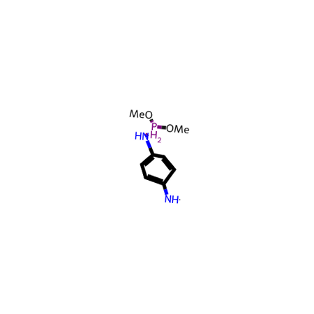 CO[PH2](Nc1ccc([NH])cc1)OC